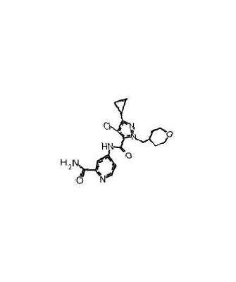 NC(=O)c1cc(NC(=O)c2c(Cl)c(C3CC3)nn2CC2CCOCC2)ccn1